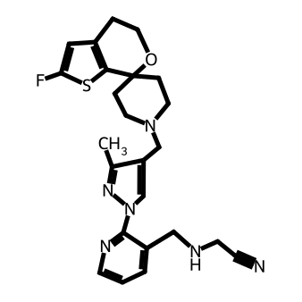 Cc1nn(-c2ncccc2CNCC#N)cc1CN1CCC2(CC1)OCCc1cc(F)sc12